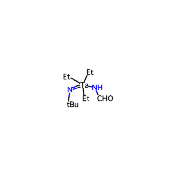 C[CH2][Ta]([CH2]C)([CH2]C)(=[N]C(C)(C)C)[NH]C=O